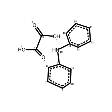 O=C(O)C(=O)O.c1ccc(Nc2ccccc2)cc1